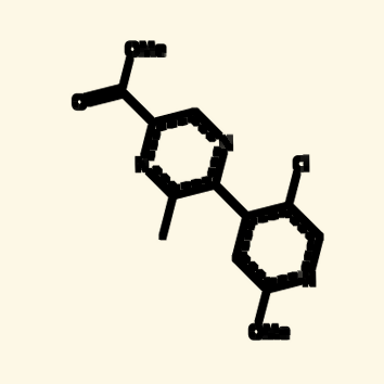 COC(=O)c1cnc(-c2cc(OC)ncc2Cl)c(C)n1